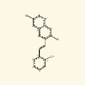 Clc1cnc2cc(Cl)c(C=Cc3ccccc3Cl)cc2c1